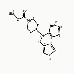 CC(C)(C)OC(=O)N1CCC(N(Cc2ccsc2)c2cncnc2)CC1